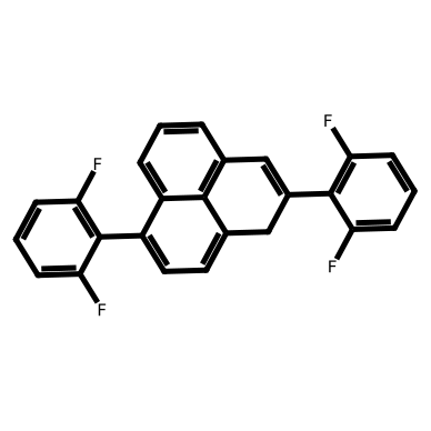 Fc1cccc(F)c1C1=Cc2cccc3c(-c4c(F)cccc4F)ccc(c23)C1